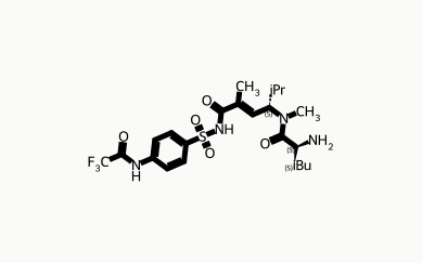 CC[C@H](C)[C@H](N)C(=O)N(C)[C@H](C=C(C)C(=O)NS(=O)(=O)c1ccc(NC(=O)C(F)(F)F)cc1)C(C)C